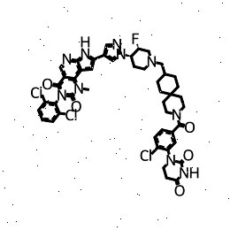 Cn1c(=O)n(-c2c(Cl)cccc2Cl)c(=O)c2cnc3[nH]c(-c4cnn([C@@H]5CCN(CC6CCC7(CC6)CCN(C(=O)c6ccc(Cl)c(N8CCC(=O)NC8=O)c6)CC7)C[C@H]5F)c4)cc3c21